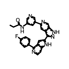 CCC(=O)Nc1cncc(-c2cc3c(-c4cc5c(-c6ccc(F)cc6)nccc5[nH]4)n[nH]c3cn2)c1